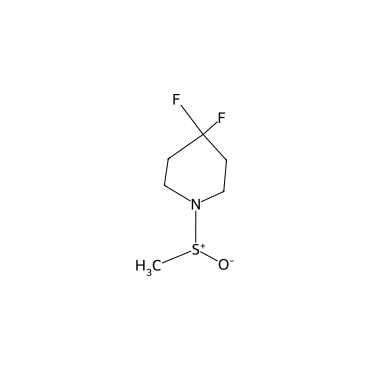 C[S+]([O-])N1CCC(F)(F)CC1